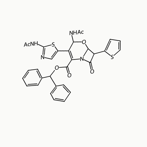 CC(=O)Nc1ncc(C2=C(C(=O)OC(c3ccccc3)c3ccccc3)N3C(=O)C(c4cccs4)C3OC2NC(C)=O)s1